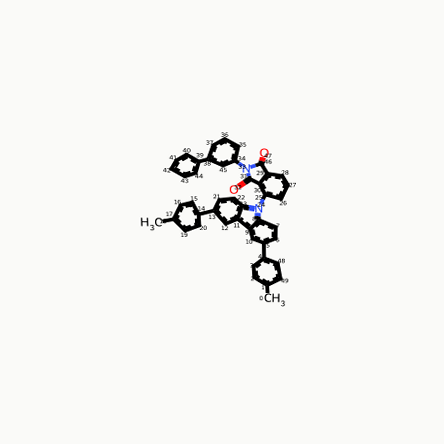 Cc1ccc(-c2ccc3c(c2)c2cc(-c4ccc(C)cc4)ccc2n3-c2cccc3c2C(=O)N(c2cccc(-c4ccccc4)c2)C3=O)cc1